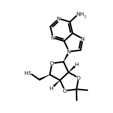 CC1(C)O[C@@H]2[C@H](O1)[C@@H](CS)O[C@H]2n1cnc2c(N)ncnc21